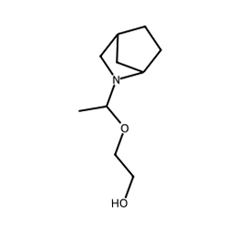 CC(OCCO)N1CC2CCC1C2